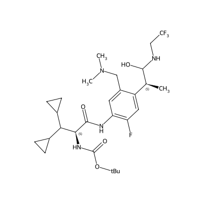 C[C@@H](c1cc(F)c(NC(=O)[C@@H](NC(=O)OC(C)(C)C)C(C2CC2)C2CC2)cc1CN(C)C)C(O)NCC(F)(F)F